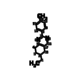 CCC1CCc2nc(-c3ccc(C)cc3)ncc2C1